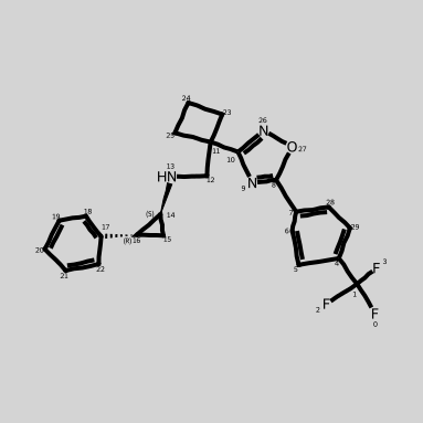 FC(F)(F)c1ccc(-c2nc(C3(CN[C@H]4C[C@@H]4c4ccccc4)CCC3)no2)cc1